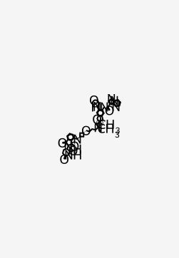 CN(CCCO[C@H]1C[C@H](Nc2cccc3c2C(=O)N(C2CCC(=O)NC2=O)C3=O)C1)C[C@@]1(C)Cc2cc(NC(=O)c3cnn4cccnc34)c(N3CCOCC3)cc2O1